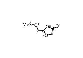 CSOC[C@@H]1OCC(=O)O1